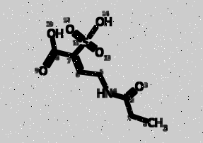 CCC(=O)NCC=C(C(=O)O)S(=O)(=O)O